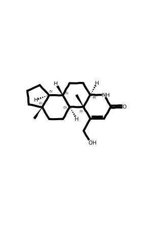 C[C@@]12CCC[C@H]1[C@@H]1CC[C@H]3NC(=O)C=C(CO)[C@]3(C)[C@H]1CC2